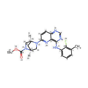 Cc1cccc(Nc2ncnc3ccc(N4C[C@@H]5C[C@H]4CN5C(=O)OC(C)(C)C)nc23)c1F